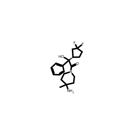 CC1(N)CCN(C(=O)C(O)(c2ccccc2)[C@@H]2CCC(F)(F)C2)CC1